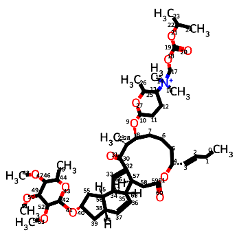 CC/C=C/[C@H]1CCC[C@H](OC2CCC([N+](C)(C)COC(=O)OC(C)C)C(C)O2)[C@@H](C)C(=O)C2=C[C@@H]3[C@@H](C=C[C@@H]4C[C@@H](OC5OC(C)C(OC)C(OC)C5OC)C[C@@H]34)[C@@H]2CC(=O)O1